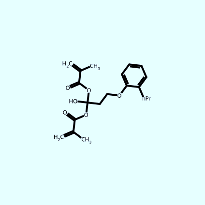 C=C(C)C(=O)OC(O)(CCOc1ccccc1CCC)OC(=O)C(=C)C